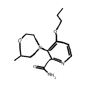 CCCOc1ccnc(C(N)=O)c1N1CCOC(C)C1